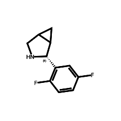 Fc1ccc(F)c([C@@H]2NCC3CC32)c1